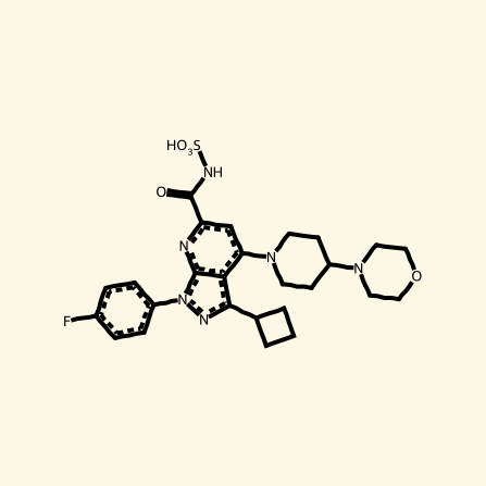 O=C(NS(=O)(=O)O)c1cc(N2CCC(N3CCOCC3)CC2)c2c(C3CCC3)nn(-c3ccc(F)cc3)c2n1